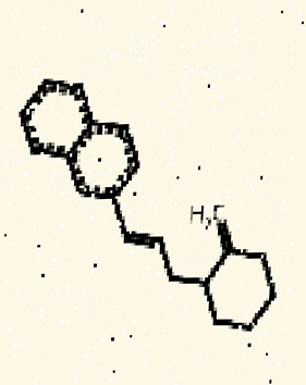 C=C1CCCCC1C/C=C/c1ccc2ccccc2c1